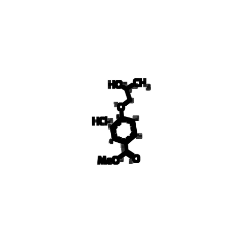 COC(=O)c1ccc(OCC(C)O)cc1.Cl